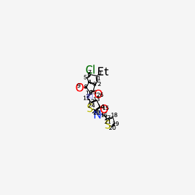 CCc1cc2c(cc1Cl)C(=O)/C(=C/c1cc3oc(-c4cccs4)nc3s1)C2=O